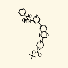 CC(C)(C)OC(=O)N1CCN(c2cnc3ccc(-c4cncc(NS(=O)(=O)c5ccccc5)c4)cc3n2)CC1